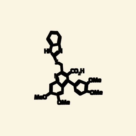 COc1ccc(-c2c(C(=O)O)c(CSc3nc4ccccc4[nH]3)nc3cc(OC)c(OC)cc23)cc1OC